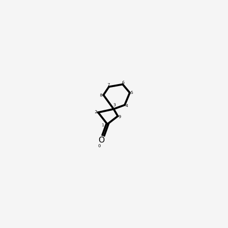 O=C1CC2(CCCCC2)C1